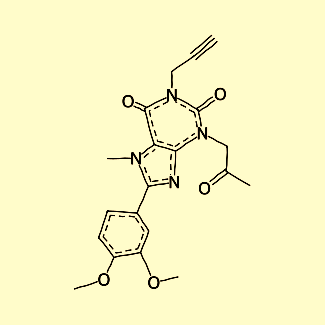 C#CCn1c(=O)c2c(nc(-c3ccc(OC)c(OC)c3)n2C)n(CC(C)=O)c1=O